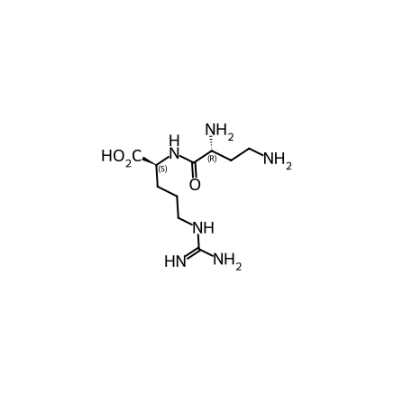 N=C(N)NCCC[C@H](NC(=O)[C@H](N)CCN)C(=O)O